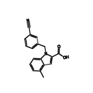 Cc1cccc2c1cc(C(=O)O)n2Cc1cccc(C#N)c1